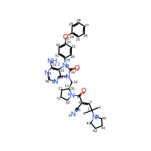 CC(C)(C=C(C#N)C(=O)N1CCC[C@H]1Cn1c(=O)n(-c2ccc(Oc3ccccc3)cc2)c2c(N)ncnc21)N1CCCC1